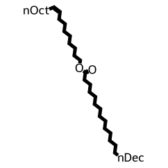 CCCCCCCC/C=C\CCCCCCCCOC(=O)CCCCCCCCCCCCCCCCCCCCCCC